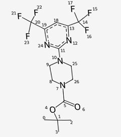 CC(C)(C)OC(=O)N1CCN(c2nc(C(F)(F)F)cc(C(F)(F)F)n2)CC1